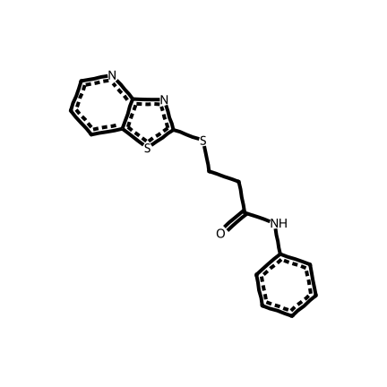 O=C(CCSc1nc2ncccc2s1)Nc1ccccc1